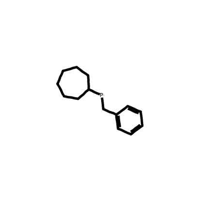 c1ccc(C[P]C2CCCCCC2)cc1